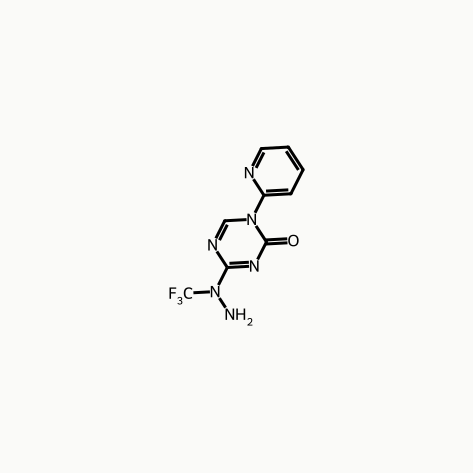 NN(c1ncn(-c2ccccn2)c(=O)n1)C(F)(F)F